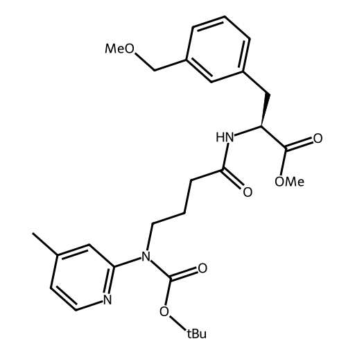 COCc1cccc(C[C@H](NC(=O)CCCN(C(=O)OC(C)(C)C)c2cc(C)ccn2)C(=O)OC)c1